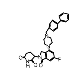 O=C1CCC(N2Cc3c(cc(F)cc3N3CCN(Cc4ccc(-c5ccccc5)cc4)CC3)C2=O)C(=O)N1